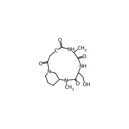 CC1NC(=O)CCC(=O)N2CCCC(C2)N(C)C(=O)C(CO)NC1=O